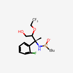 CC(C)(C)[S+]([O-])N[C@](C)(c1ccccc1F)C(CO)OCC(F)(F)F